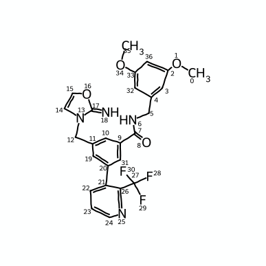 COc1cc(CNC(=O)c2cc(Cn3ccoc3=N)cc(-c3cccnc3C(F)(F)F)c2)cc(OC)c1